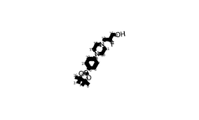 CC1(C)OB(c2ccc(N3CCN(CC(F)CO)CC3)cc2)OC1(C)C